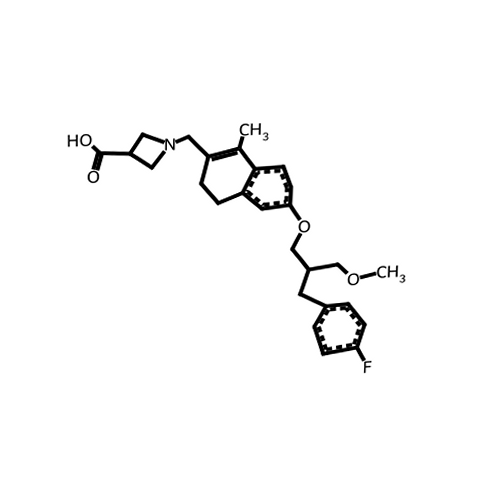 COCC(COc1ccc2c(c1)CCC(CN1CC(C(=O)O)C1)=C2C)Cc1ccc(F)cc1